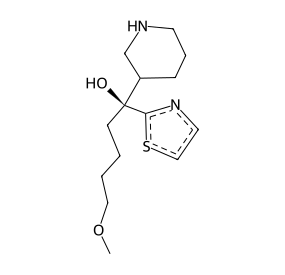 COCCCC[C@@](O)(c1nccs1)C1CCCNC1